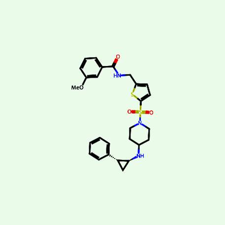 COc1cccc(C(=O)NCc2ccc(S(=O)(=O)N3CCC(N[C@H]4C[C@@H]4c4ccccc4)CC3)s2)c1